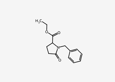 CCOC(=O)C1CCC(=O)N1Cc1ccccc1